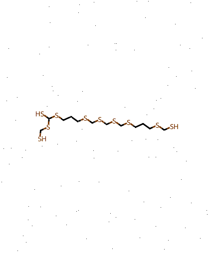 SCSCCCSCSCSCSCCCSC(S)SCS